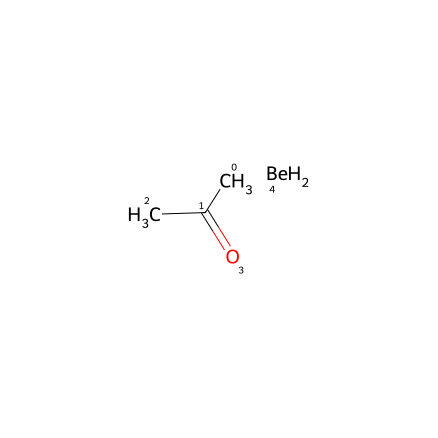 CC(C)=O.[BeH2]